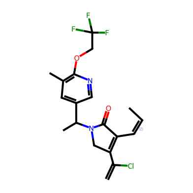 C=C(Cl)C1=C(/C=C\C)C(=O)N(C(C)c2cnc(OCC(F)(F)F)c(C)c2)C1